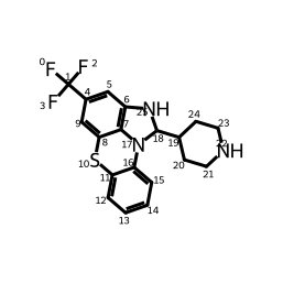 FC(F)(F)c1cc2c3c(c1)Sc1ccccc1N3C(C1CCNCC1)N2